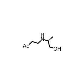 CC(=O)CCN[C@@H](C)CO